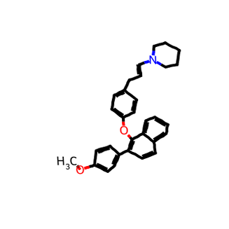 COc1ccc(-c2ccc3ccccc3c2Oc2ccc(CC=CN3CCCCC3)cc2)cc1